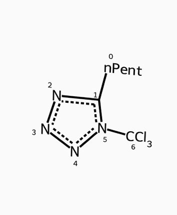 CCCCCc1nnnn1C(Cl)(Cl)Cl